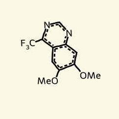 COc1cc2ncnc(C(F)(F)F)c2cc1OC